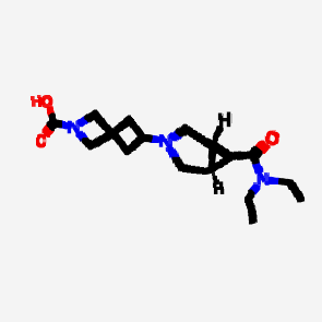 CCN(CC)C(=O)C1[C@H]2CN(C3CC4(C3)CN(C(=O)O)C4)C[C@H]12